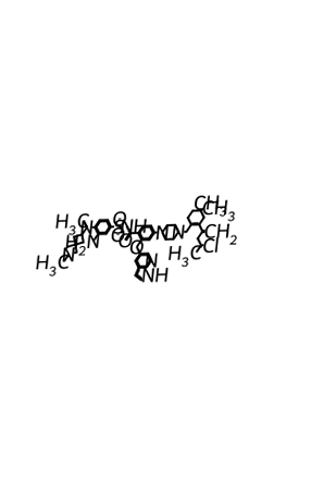 C=C(CC(C)Cl)C1=C(CN2CCN(c3ccc(C(=O)NS(=O)(=O)c4ccc(N(C)C5CC6(C5)CN(C)C6)c(N)c4)c(Oc4cnc5[nH]ccc5c4)c3)CC2)CCC(C)(C)C1